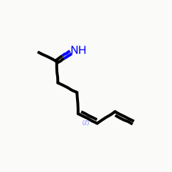 C=C/C=C\CCC(C)=N